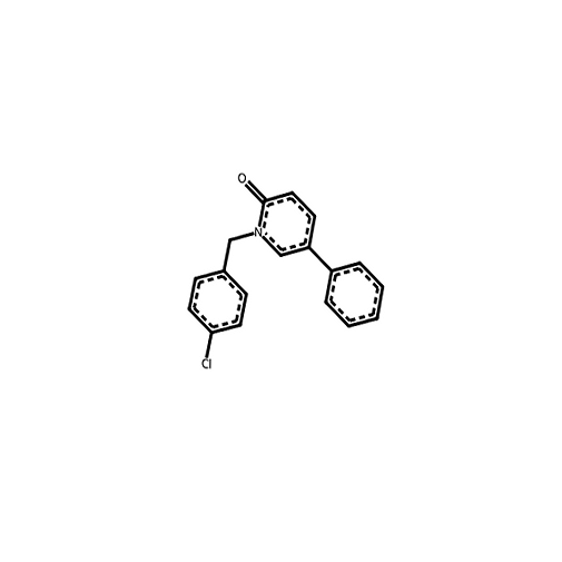 O=c1ccc(-c2ccccc2)cn1Cc1ccc(Cl)cc1